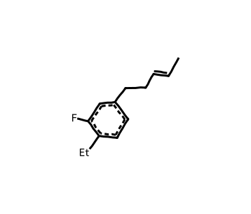 C/C=C/CCc1ccc(CC)c(F)c1